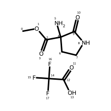 COC(=O)C1(N)CCNC1=O.O=C(O)C(F)(F)F